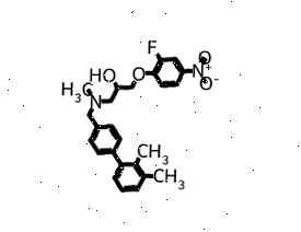 Cc1cccc(-c2ccc(CN(C)CC(O)COc3ccc([N+](=O)[O-])cc3F)cc2)c1C